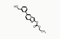 CCOC(=O)Oc1cn2cc(-c3cccc(CO)c3)ccc2n1